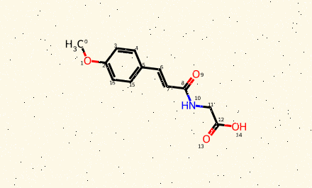 COc1ccc(C=CC(=O)NCC(=O)O)cc1